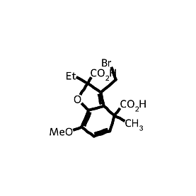 CCC1(C(=O)O)OC2=C(OC)C=CC(C)(C(=O)O)C2=C1CBr